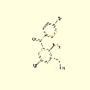 N#CCc1cc(Cl)cc(C(=O)c2ccc(Br)cc2)c1N